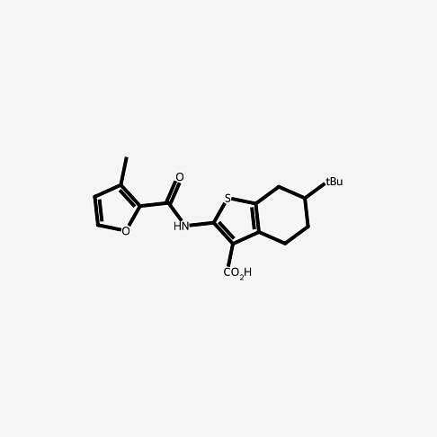 Cc1ccoc1C(=O)Nc1sc2c(c1C(=O)O)CCC(C(C)(C)C)C2